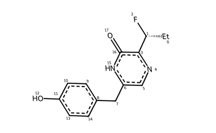 CC[C@@H](F)c1ncc(Cc2ccc(O)cc2)[nH]c1=O